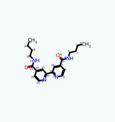 CCCCNC(=O)c1ccnc(-c2cc(C(=O)NCCCC)ccn2)c1